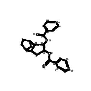 O=C(OC1CC2C3CCC(C3)C2C1OC(=O)c1ccncc1)c1ccncc1